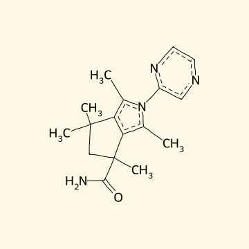 Cc1c2c(c(C)n1-c1cnccn1)C(C)(C(N)=O)CC2(C)C